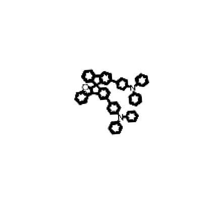 c1ccc(N(c2ccccc2)c2ccc(-c3ccc4c(c3)-c3c(oc5ccccc35)C43c4ccccc4-c4ccc(-c5ccc(N(c6ccccc6)c6ccccc6)cc5)cc43)cc2)cc1